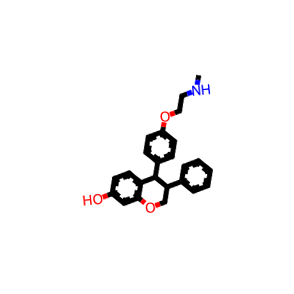 CNCCOc1ccc(C2c3ccc(O)cc3OCC2c2ccccc2)cc1